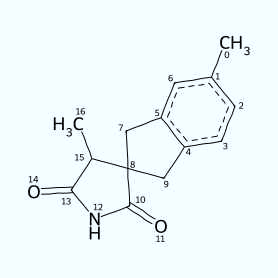 Cc1ccc2c(c1)CC1(C2)C(=O)NC(=O)C1C